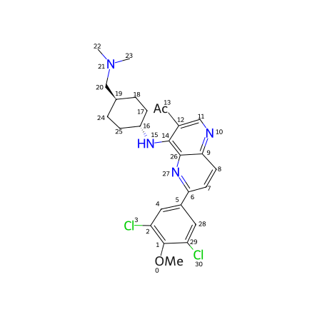 COc1c(Cl)cc(-c2ccc3ncc(C(C)=O)c(N[C@H]4CC[C@H](CN(C)C)CC4)c3n2)cc1Cl